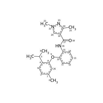 Cc1ccc(C(C)C)c(Oc2ccccc2NC(=O)c2cn(C)nc2C)c1